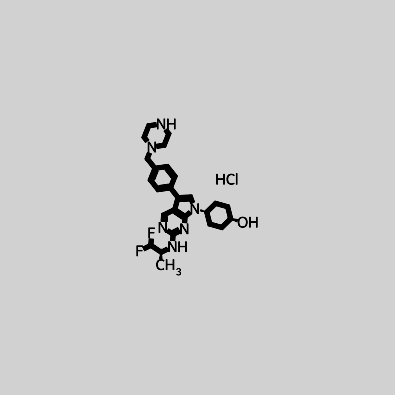 C[C@H](Nc1ncc2c(-c3ccc(CN4CCNCC4)cc3)cn([C@H]3CC[C@H](O)CC3)c2n1)C(F)F.Cl